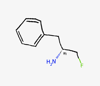 N[C@@H](CF)Cc1ccccc1